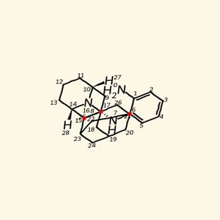 Nc1ccccc1N[C@H]1C[C@H]2CCC[C@@H](C1)N2C12CC3CC(CC(C3)C1)C2